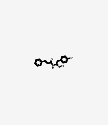 O=C(/C=C/c1ccccc1)N/C(Cc1ccc(Br)cc1)=N/O